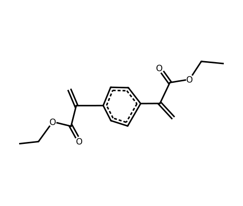 C=C(C(=O)OCC)c1ccc(C(=C)C(=O)OCC)cc1